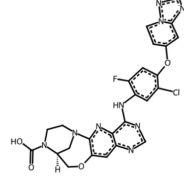 O=C(O)N1CCN2C[C@H]1COc1cc3ncnc(Nc4cc(Cl)c(Oc5ccn6ncnc6c5)cc4F)c3nc12